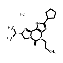 CCCN1C(=O)N2C[C@H](C(C)C)N=C2c2[nH]c(C3CCCC3)nc21.Cl